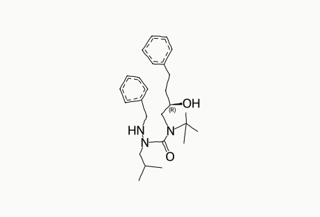 CC(C)CN(NCc1ccccc1)C(=O)N(C[C@H](O)CCc1ccccc1)C(C)(C)C